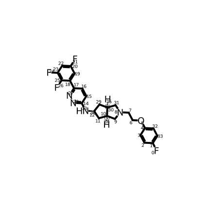 Fc1ccc(OCCN2C[C@H]3C[C@@H](Nc4ccc(-c5cc(F)cc(F)c5F)nn4)C[C@H]3C2)cc1